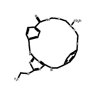 CCOC(=O)N1CCCNC(=O)c2ccc(cc2)Nc2nc(nc(OCC(F)(F)F)n2)NCc2ccc(cc2)OCC1